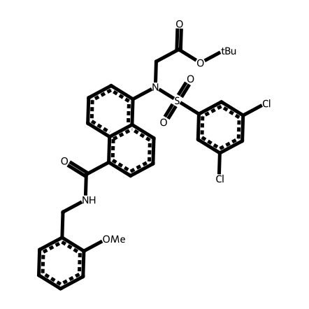 COc1ccccc1CNC(=O)c1cccc2c(N(CC(=O)OC(C)(C)C)S(=O)(=O)c3cc(Cl)cc(Cl)c3)cccc12